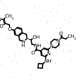 CCC(=O)N1CCN(c2cc(C(=O)NCC(O)[C@@H]3Cc4ccc(OCc5ocnc5C)cc4CN3)cc(NC3CCC3)n2)CC1